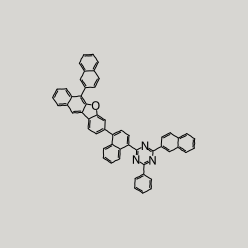 c1ccc(-c2nc(-c3ccc4ccccc4c3)nc(-c3ccc(-c4ccc5c(c4)oc4c(-c6ccc7ccccc7c6)c6ccccc6cc45)c4ccccc34)n2)cc1